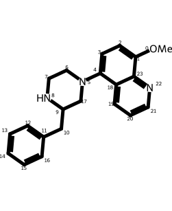 COc1ccc(N2CCNC(Cc3ccccc3)C2)c2cccnc12